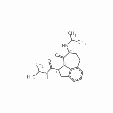 CC(C)NC(=O)[C@@H]1Cc2cccc3c2N1C(=O)[C@@H](NC(C)C)CC3